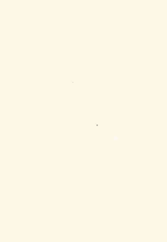 Cc1c(-c2cncc(S(=O)(=O)N(C)C)c2)c2c(Cl)cccc2n1C/C(F)=C/CN.Cl.Cl